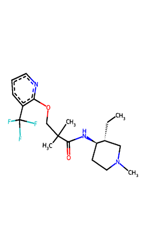 CC[C@@H]1CN(C)CC[C@H]1NC(=O)C(C)(C)COc1ncccc1C(F)(F)F